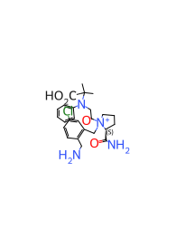 CC(C)(C(=O)O)N(CC(=O)[N+]1(Cc2cc(Cl)ccc2CN)CCC[C@H]1C(N)=O)c1ccccc1